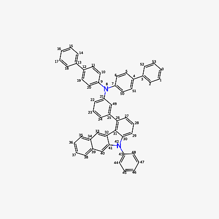 c1ccc(-c2ccc(N(c3ccc(-c4ccccc4)cc3)c3cccc(-c4cccc5c4c4cc6ccccc6cc4n5-c4ccccc4)c3)cc2)cc1